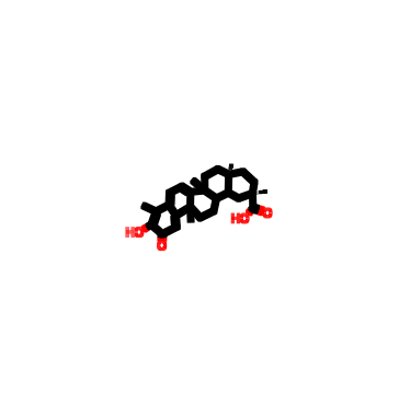 CC1=C(O)C(=O)C=C2C1=CC=C1C2(C)CCC2C3C[C@](C)(C(=O)O)CC[C@]3(C)CCC12C